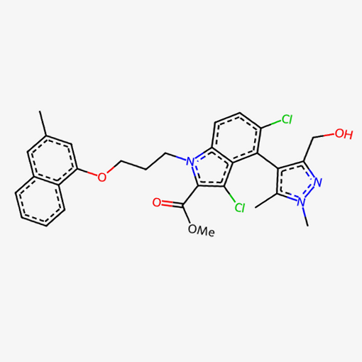 COC(=O)c1c(Cl)c2c(-c3c(CO)nn(C)c3C)c(Cl)ccc2n1CCCOc1cc(C)cc2ccccc12